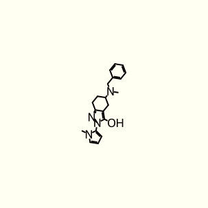 CN(Cc1ccccc1)C1CCc2nn(-c3cccn3C)c(O)c2C1